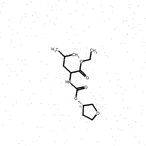 CCOC(=O)C(CC(C)C)NC(=O)O[C@H]1CCOC1